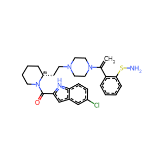 C=C(c1ccccc1SN)N1CCN(CC[C@H]2CCCCN2C(=O)c2cc3cc(Cl)ccc3[nH]2)CC1